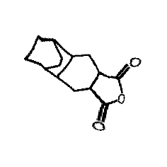 O=C1OC(=O)C2CC3C4CCC(C4)C3CC12